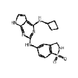 O=S1(=O)NCc2cc(Nc3nc(NC4CCC4)c4cc[nH]c4n3)ccc21